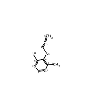 C=C=CSc1c(C)ncnc1I